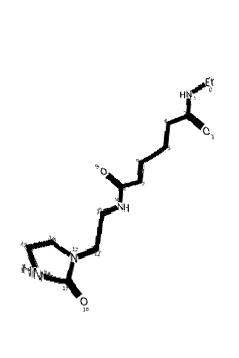 CCNC(=O)CCCCC(=O)NCCN1CCNC1=O